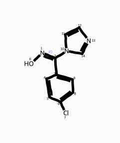 O/N=C(\c1ccc(Cl)cc1)n1ccnc1